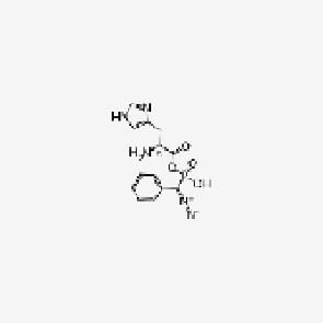 [N-]=[N+]=C(c1ccccc1)P(=O)(O)OC(=O)[C@@H](N)Cc1c[nH]cn1